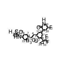 COc1c(/C=C/c2ccc(NS(C)(=O)=O)cc2)cc(-c2cc(F)c[nH]c2=O)cc1C1(C(F)F)CC1